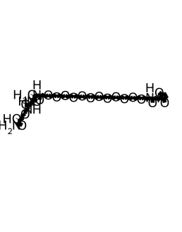 C[C@H](NC(=O)CCOCCOCCOCCOCCOCCOCCOCCOCCOCCOCCOCCOCCNC(=O)CCN1C(=O)C=CC1=O)C(=O)NCC(=O)NCOCC[C@@H](O)C(N)=O